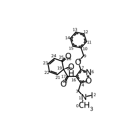 CN(I)Cc1onc(OCc2ccccc2)c1C(=O)[C@]1(O)C=CC=CC1=O